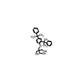 CC(C)(c1ccccc1)c1ccc(OCC(CO)(CO)CO)c(C(C)(C)c2ccccc2)c1